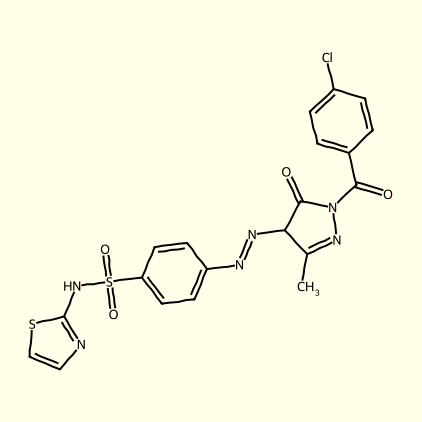 CC1=NN(C(=O)c2ccc(Cl)cc2)C(=O)C1/N=N/c1ccc(S(=O)(=O)Nc2nccs2)cc1